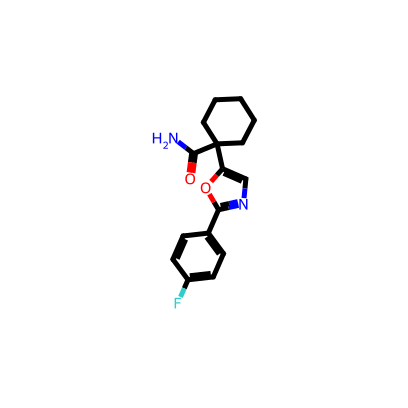 NC(=O)C1(c2cnc(-c3ccc(F)cc3)o2)CCCCC1